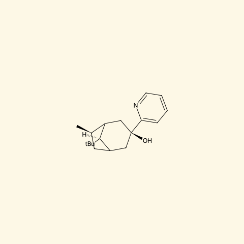 C[C@@H]1CC2C[C@@](O)(c3ccccn3)CC1[C@@H]2C(C)(C)C